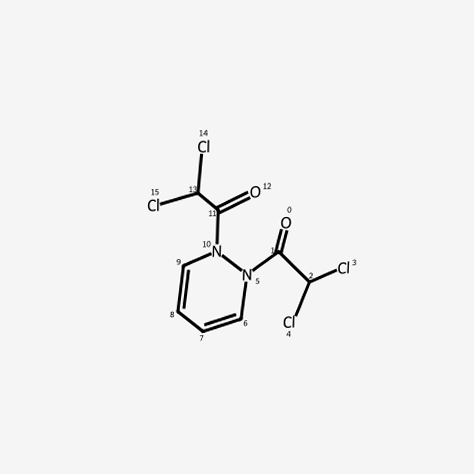 O=C(C(Cl)Cl)N1C=CC=CN1C(=O)C(Cl)Cl